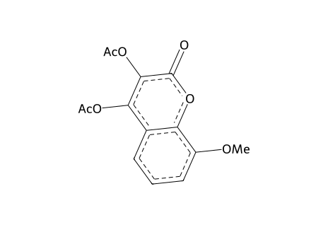 COc1cccc2c(OC(C)=O)c(OC(C)=O)c(=O)oc12